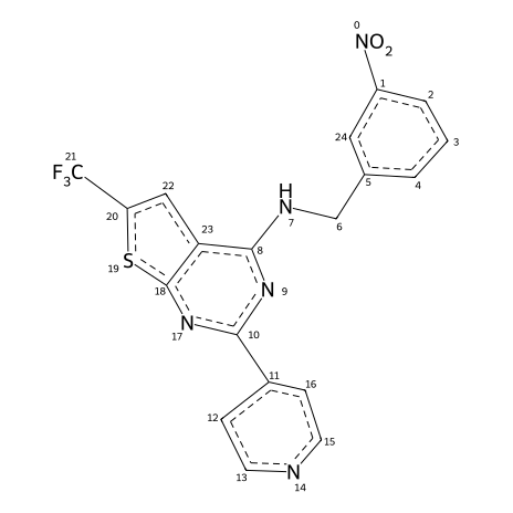 O=[N+]([O-])c1cccc(CNc2nc(-c3ccncc3)nc3sc(C(F)(F)F)cc23)c1